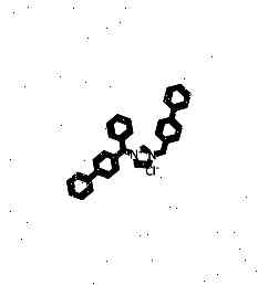 [Cl-].c1ccc(-c2ccc(Cn3cc[n+](C(c4ccccc4)c4ccc(-c5ccccc5)cc4)c3)cc2)cc1